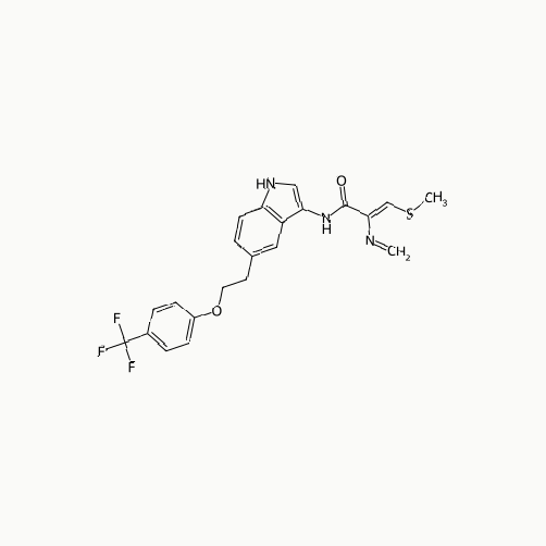 C=N/C(=C\SC)C(=O)Nc1c[nH]c2ccc(CCOc3ccc(C(F)(F)F)cc3)cc12